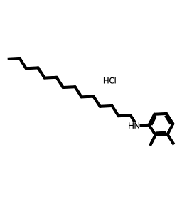 CCCCCCCCCCCCCCNc1cccc(C)c1C.Cl